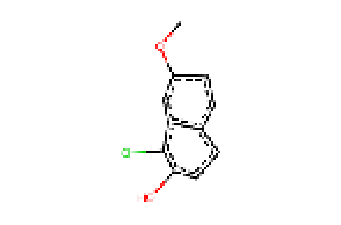 COc1ccc2ccc(O)c(Cl)c2c1